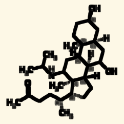 CC(=O)CC[C@@H](C)[C@H]1CC[C@H]2[C@@H]3C(O)C[C@@H]4C[C@H](O)CC[C@]4(C)[C@H]3CC(NC(C)C)[C@]12C